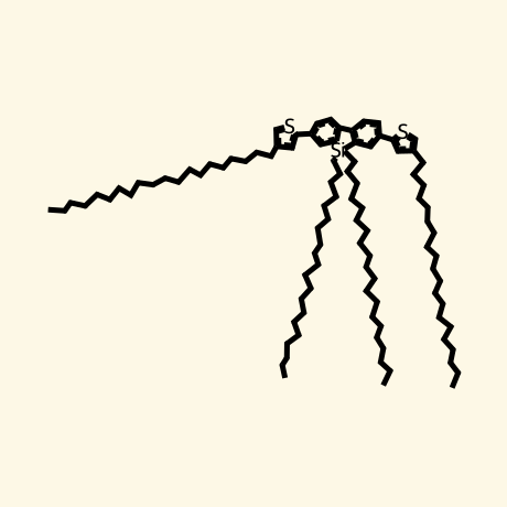 CCCCCCCCCCCCCCCCCCCCc1csc(-c2ccc3c(c2)[Si](CCCCCCCCCCCCCCCCCCCC)(CCCCCCCCCCCCCCCCCCCC)c2cc(-c4cc(CCCCCCCCCCCCCCCCCCCC)cs4)ccc2-3)c1